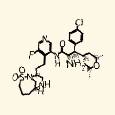 C[C@@H]1C[C@H]([C@H](c2ccc(Cl)cc2)[C@H](N)C(=O)Nc2cncc(F)c2CC[C@H]2CN[C@@H]3CCCS(=O)(=O)N2C3)C[C@H](C)O1